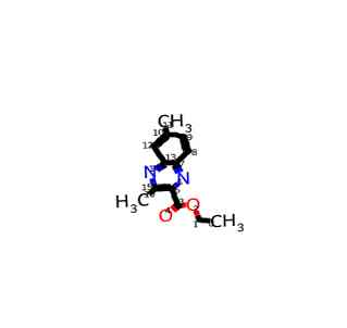 CCOC(=O)c1nc2ccc(C)cc2nc1C